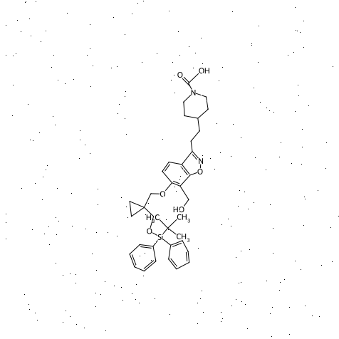 CC(C)(C)[Si](OCC1(COc2ccc3c(CCC4CCN(C(=O)O)CC4)noc3c2CO)CC1)(c1ccccc1)c1ccccc1